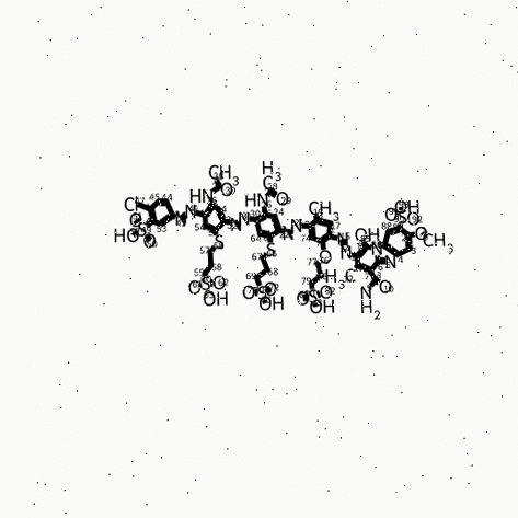 COc1cc2nc3c(C(N)=O)c(C)c(N=Nc4cc(C)c(N=Nc5cc(NC(C)=O)c(N=Nc6cc(NC(C)=O)c(N=Nc7ccc(Cl)c(S(=O)(=O)O)c7)cc6SCCCS(=O)(=O)O)cc5SCCCS(=O)(=O)O)cc4OCCCS(=O)(=O)O)c(O)n3c2cc1S(=O)(=O)O